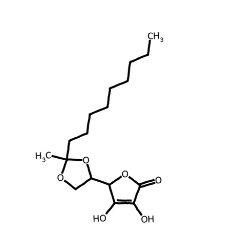 CCCCCCCCCC1(C)OCC(C2OC(=O)C(O)=C2O)O1